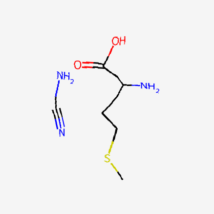 CSCCC(N)C(=O)O.N#CN